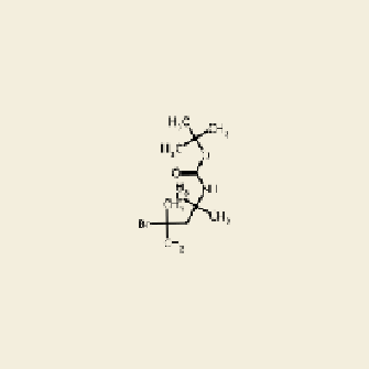 CC(C)(Br)CC(C)(C)NC(=O)OC(C)(C)C